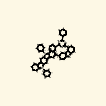 c1ccc(-c2nc(-c3ccccc3)nc(-c3cccc4sc5ccc(-c6ccc7c(c6)c6cc8c(cc6n7-c6ccccc6)c6ccccc6n8-c6ccccc6)cc5c34)n2)cc1